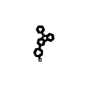 ClC1=CC=C(c2ccc3c(c2)c2ccccc2n3-c2ccccc2)C=CC1